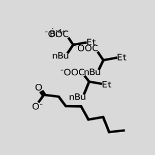 CCCCC(CC)C(=O)[O-].CCCCC(CC)C(=O)[O-].CCCCC(CC)C(=O)[O-].CCCCCCCC(=O)[O-].[Bi+4]